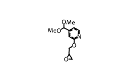 COC(OC)c1ccnc(OCC2CO2)c1